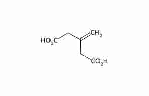 C=C(CC(=O)O)CC(=O)O